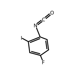 O=C=Nc1ccc(F)cc1I